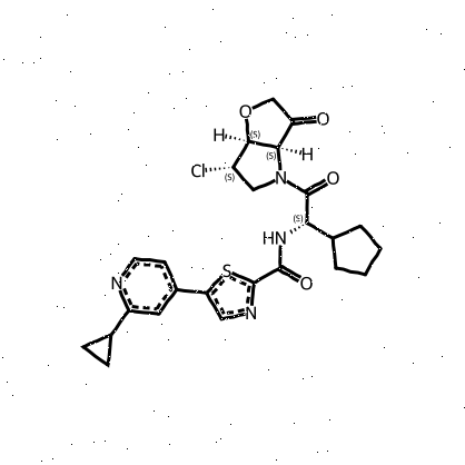 O=C(N[C@H](C(=O)N1C[C@H](Cl)[C@H]2OCC(=O)[C@H]21)C1CCCC1)c1ncc(-c2ccnc(C3CC3)c2)s1